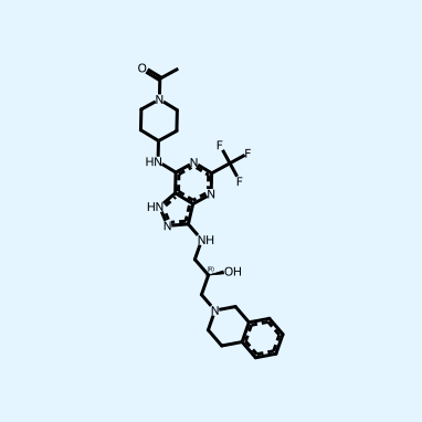 CC(=O)N1CCC(Nc2nc(C(F)(F)F)nc3c(NC[C@@H](O)CN4CCc5ccccc5C4)n[nH]c23)CC1